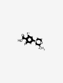 C[C@H]1CN(c2cc(F)c(C(=O)O)c(F)c2)CCO1